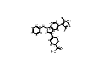 Cc1noc(C)c1-c1cnc2c(c1)c(C1=CCC(C(=O)O)CC1)cn2Cc1ccccc1